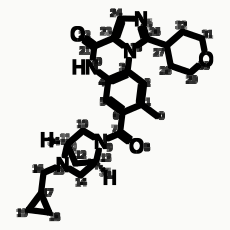 Cc1cc2c(cc1C(=O)N1C[C@H]3C[C@@H]1CN3CC1CC1)[nH]c(=O)c1cnc(C3CCOCC3)n12